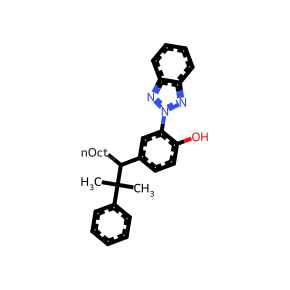 CCCCCCCCC(c1ccc(O)c(-n2nc3ccccc3n2)c1)C(C)(C)c1ccccc1